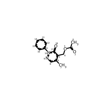 CC(=O)OCc1c(C)cnn(-c2ccccc2)c1=O